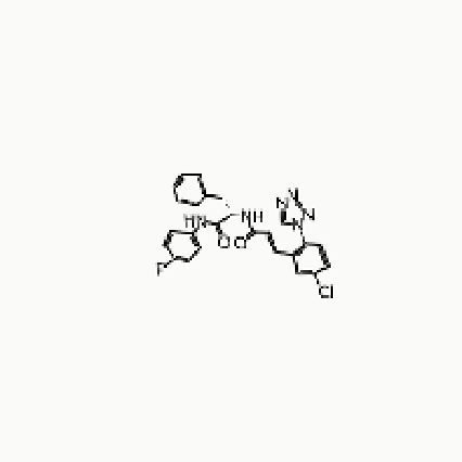 O=C(/C=C/c1cc(Cl)ccc1-n1cnnn1)N[C@@H](Cc1ccccc1)C(=O)Nc1ccc(F)cc1